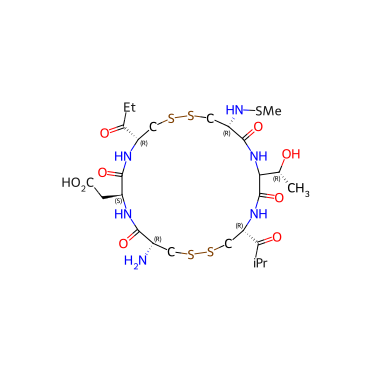 CCC(=O)[C@@H]1CSSC[C@H](NSC)C(=O)NC([C@@H](C)O)C(=O)N[C@H](C(=O)C(C)C)CSSC[C@H](N)C(=O)N[C@@H](CC(=O)O)C(=O)N1